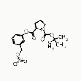 CC(C)(C)OC(=O)N1CCCC1C(=O)Oc1cccc(CO[N+](=O)[O-])c1